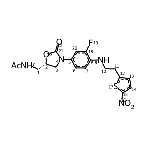 CC(=O)NC[C@H]1CN(c2ccc(NCCc3ccc([N+](=O)[O-])s3)c(F)c2)C(=O)O1